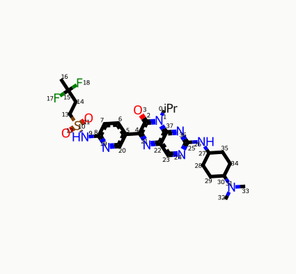 CC(C)n1c(=O)c(-c2ccc(NS(=O)(=O)CCC(C)(F)F)nc2)nc2cnc(NC3CCC(N(C)C)CC3)nc21